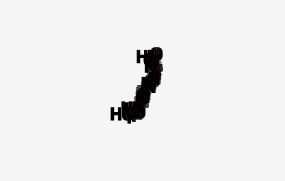 O=C1CCN(c2cnn3cc(CCCN4CCN(c5ncc(-c6ccc7cn([C@H]8CC[C@H](CNC(=O)c9cc(F)c(O)c(F)c9F)CC8)nc7c6)cn5)CC4)ccc23)C(=O)N1